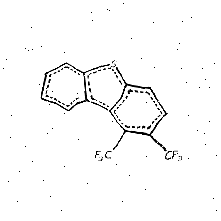 FC(F)(F)c1ccc2sc3ccccc3c2c1C(F)(F)F